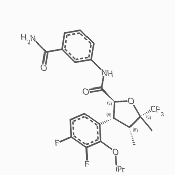 CC(C)Oc1c([C@@H]2[C@@H](C(=O)Nc3cccc(C(N)=O)c3)O[C@](C)(C(F)(F)F)[C@@H]2C)ccc(F)c1F